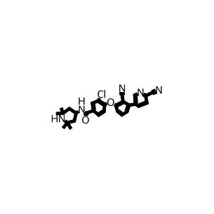 CC1(C)CC(NC(=O)c2ccc(Oc3cccc(-c4ccc(C#N)nc4)c3C#N)c(Cl)c2)CC(C)(C)N1